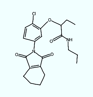 CCCNC(=O)C(CC)Oc1cc(N2C(=O)C3=C(CCCC3)C2=O)ccc1Cl